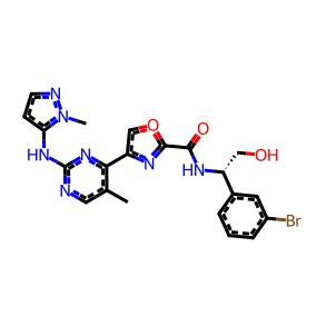 Cc1cnc(Nc2ccnn2C)nc1-c1coc(C(=O)N[C@H](CO)c2cccc(Br)c2)n1